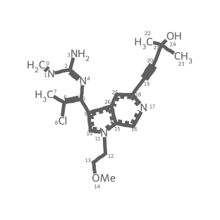 C=N/C(N)=N\C(=C(/C)Cl)c1cn(CCOC)c2cnc(C#CC(C)(C)O)cc12